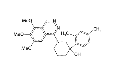 COc1cc2c(N3CCCC(O)(c4ccc(C)cc4C)C3)nncc2c(OC)c1OC